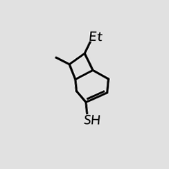 CCC1C(C)C2CC(S)=CCC12